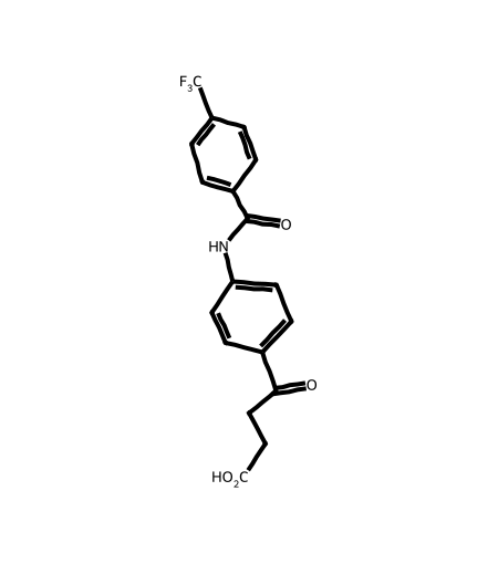 O=C(O)CCC(=O)c1ccc(NC(=O)c2ccc(C(F)(F)F)cc2)cc1